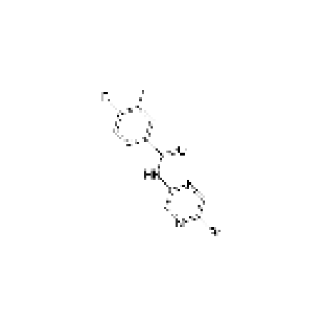 Cc1cc(C(=O)Nc2cnc(Br)cn2)ccc1F